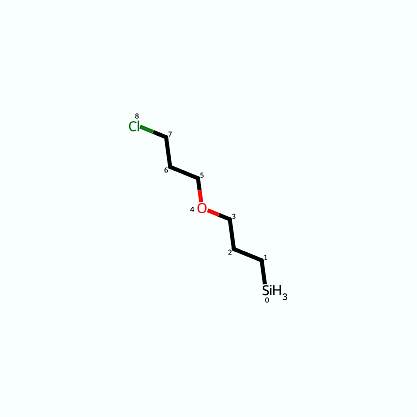 [SiH3]CCCOCCCCl